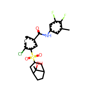 Cc1cc(NC(=O)c2ccc(Cl)c(S(=O)(=O)C3CC4CCC(C3)C4(C)O)c2)cc(F)c1F